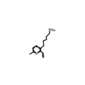 C=Cc1nc(C)ccc1CCCCCNC